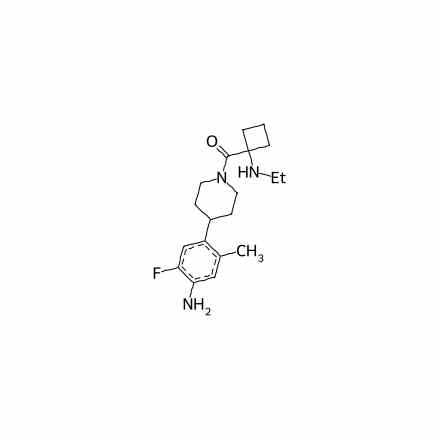 CCNC1(C(=O)N2CCC(c3cc(F)c(N)cc3C)CC2)CCC1